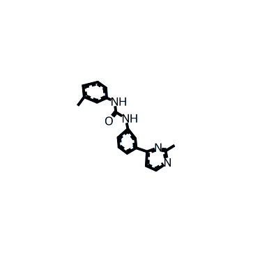 Cc1cccc(NC(=O)Nc2cccc(-c3ccnc(C)n3)c2)c1